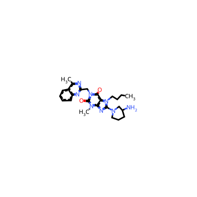 CCCCn1c(N2CCCC(N)C2)nc2c1c(=O)n(Cc1nc(C)c3ccccc3n1)c(=O)n2C